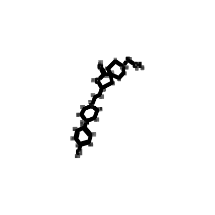 CSN1CCC2(CC1)CC(CCN1CCN(c3ccc(Cl)cc3)CC1)OC2=O